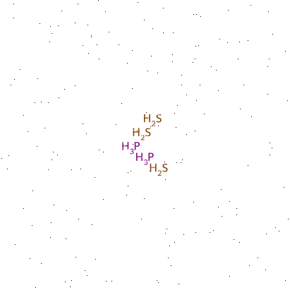 P.P.S.S.S